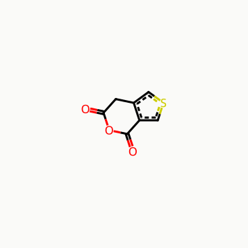 O=C1Cc2cscc2C(=O)O1